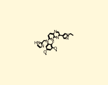 CCn1cc(-c2cnc3ccc(N(Cc4ncc[nH]4)c4cc(OC)cc(OC)c4F)nc3n2)cn1